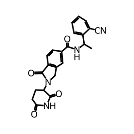 CC(NC(=O)c1ccc2c(c1)CN(C1CCC(=O)NC1=O)C2=O)c1ccccc1C#N